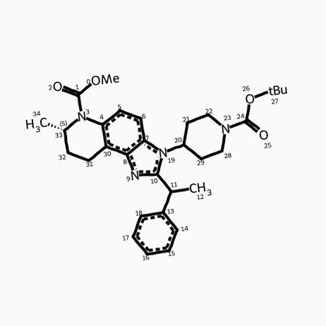 COC(=O)N1c2ccc3c(nc(C(C)c4ccccc4)n3C3CCN(C(=O)OC(C)(C)C)CC3)c2CC[C@@H]1C